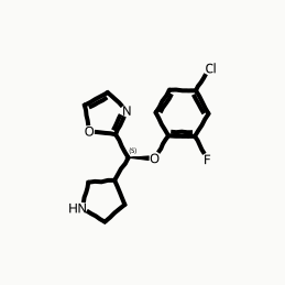 Fc1cc(Cl)ccc1O[C@H](c1ncco1)C1CCNC1